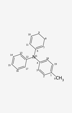 Cc1ccc(N(C2=CCCC=C2)c2ccccc2)cc1